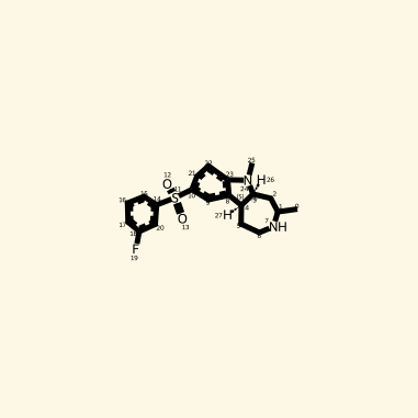 CC1C[C@H]2[C@@H](CCN1)c1cc(S(=O)(=O)c3cccc(F)c3)ccc1N2C